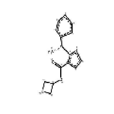 C[C@H](c1ccccc1)n1nccc1C(=O)OC1COC1